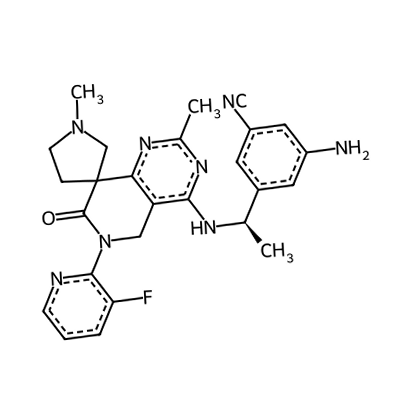 Cc1nc(N[C@H](C)c2cc(N)cc(C#N)c2)c2c(n1)C1(CCN(C)C1)C(=O)N(c1ncccc1F)C2